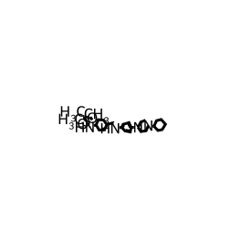 CC(C)(C)S(=O)(=O)NC1CCC(CNc2ccc(N3CCN(C4CCCCC4)CC3)cc2)CC1